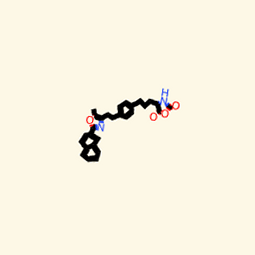 Cc1oc(-c2ccc3ccccc3c2)nc1CCc1ccc(CCCC2NC(=O)OC2=O)cc1